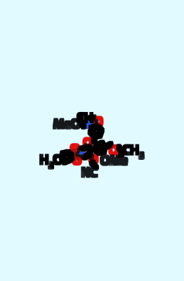 COCC(C)COCc1ccc([C@@H]2[C@@H](OCc3ccc4c(c3)N(CC(C)OC)CCO4)CN(S(=O)(=O)c3ccc(C)cc3)C[C@H]2OCCC#N)cc1